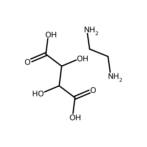 NCCN.O=C(O)C(O)C(O)C(=O)O